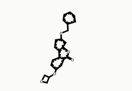 O=c1oc2cc(OCc3ccccc3)ccc2c2ccc(OC3COC3)cc12